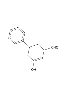 O=CC1C=C(O)CC(c2ccccc2)C1